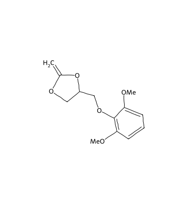 C=C1OCC(COc2c(OC)cccc2OC)O1